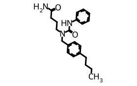 CCCCc1ccc(CN(CCCC(N)=O)C(=O)Nc2ccccc2)cc1